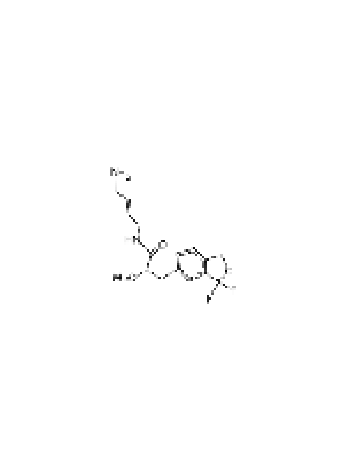 COC(Cc1ccc2c(c1)C(F)(F)OC2)C(=O)NCC=CCN